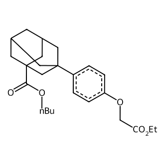 CCCCOC(=O)C12CC3CC(C1)CC(c1ccc(OCC(=O)OCC)cc1)(C3)C2